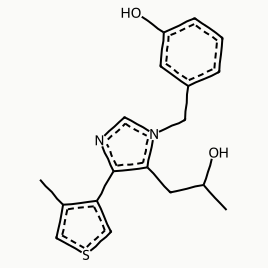 Cc1cscc1-c1ncn(Cc2cccc(O)c2)c1CC(C)O